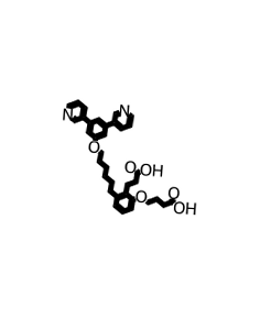 O=C(O)CCCOc1cccc(CCCCCCOc2cc(-c3cccnc3)cc(-c3cccnc3)c2)c1CCC(=O)O